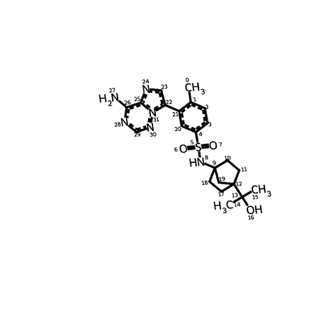 Cc1ccc(S(=O)(=O)NC23CCC(C(C)(C)O)(CC2)C3)cc1-c1cnc2c(N)ncnn12